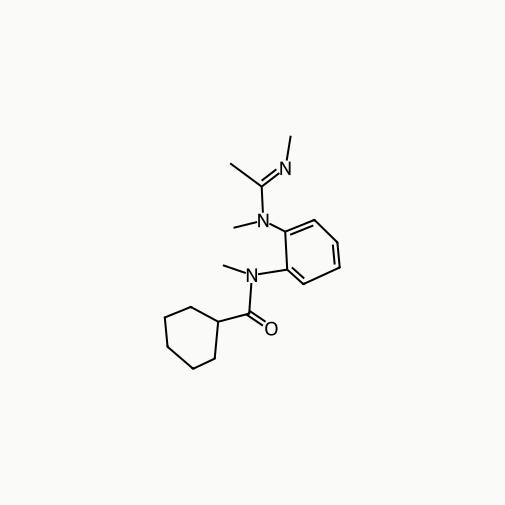 CN=C(C)N(C)c1ccccc1N(C)C(=O)C1CCCCC1